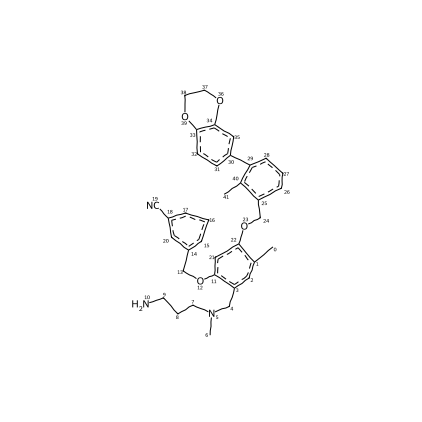 Cc1cc(CN(C)CCCN)c(OCc2cccc(C#N)c2)cc1OCc1cccc(-c2ccc3c(c2)OCCO3)c1C